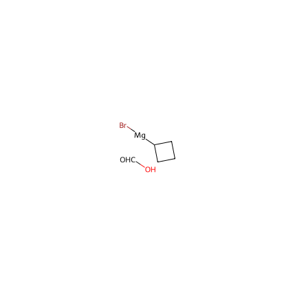 O=CO.[Br][Mg][CH]1CCC1